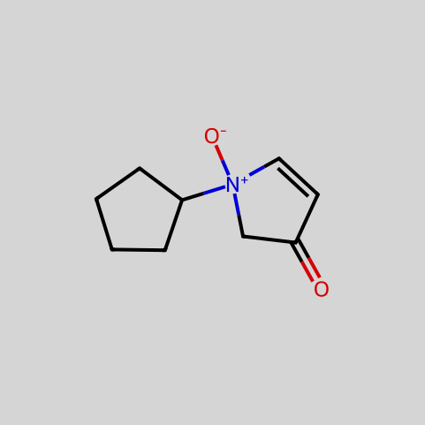 O=C1C=C[N+]([O-])(C2CCCC2)C1